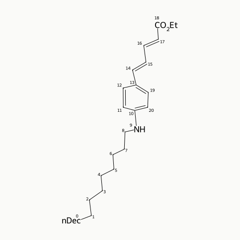 CCCCCCCCCCCCCCCCCCNc1ccc(C=CC=CC(=O)OCC)cc1